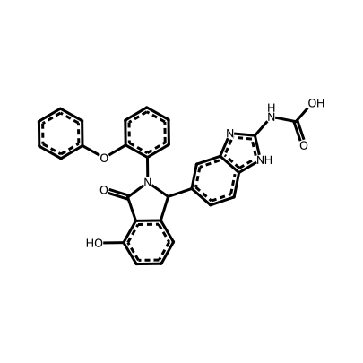 O=C(O)Nc1nc2cc(C3c4cccc(O)c4C(=O)N3c3ccccc3Oc3ccccc3)ccc2[nH]1